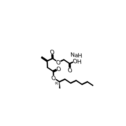 C=C(CC(=O)O[C@H](C)CCCCCC)C(=O)OCC(=O)O.[NaH]